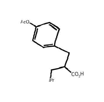 CC(=O)Oc1ccc(CC(CC(C)C)C(=O)O)cc1